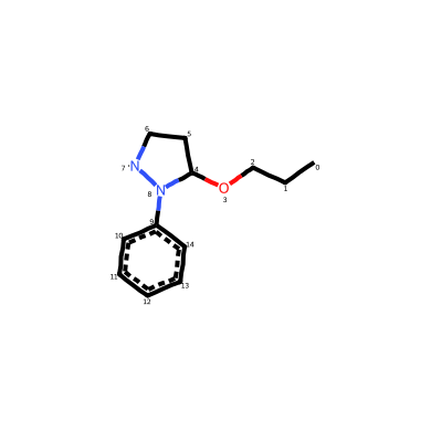 CCCOC1CC[N]N1c1ccccc1